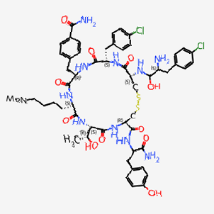 CNCCCC[C@@H]1NC(=O)[C@@H](Cc2ccc(C(N)=O)cc2)NC(=O)[C@H](Cc2ccc(Cl)cc2)NC(=O)[C@H](NC(O)[C@@H](N)Cc2ccc(Cl)cc2)CSSC[C@@H](C(=O)NC(Cc2ccc(O)cc2)C(N)=O)NC(=O)[C@H]([C@@H](C)O)NC1=O